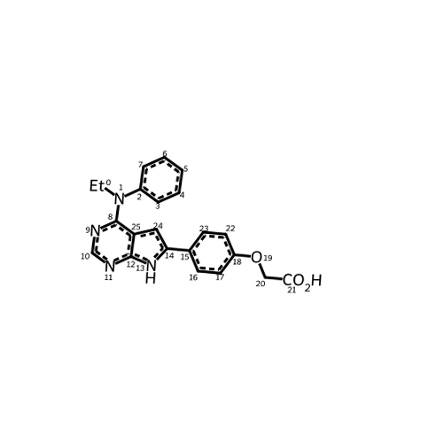 CCN(c1ccccc1)c1ncnc2[nH]c(-c3ccc(OCC(=O)O)cc3)cc12